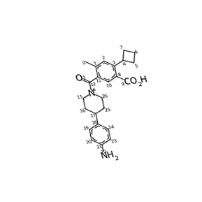 Cc1cc(C2CCC2)c(C(=O)O)cc1C(=O)N1CCC(c2ccc(N)cc2)CC1